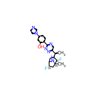 C=C(c1cnc(-c2ccc(-n3ccnc3)cc2O)nn1)C1CC2N[C@@](C)(C[C@@H]2F)[C@H]1F